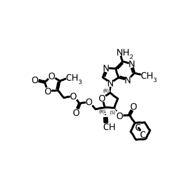 C#C[C@]1(COC(=O)OCc2oc(=O)oc2C)O[C@@H](n2cnc3c(N)nc(C)nc32)C[C@@H]1OC(=O)C12CCC(CC1)CC2